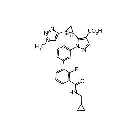 Cn1cc([C@@H]2C[C@H]2c2c(C(=O)O)cnn2-c2cccc(-c3cccc(C(=O)NCC4CC4)c3F)c2)nn1